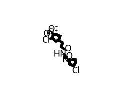 O=C(C=Cc1ccc([N+](=O)[O-])c(Cl)c1)Nc1nc2cc(Cl)ccc2o1